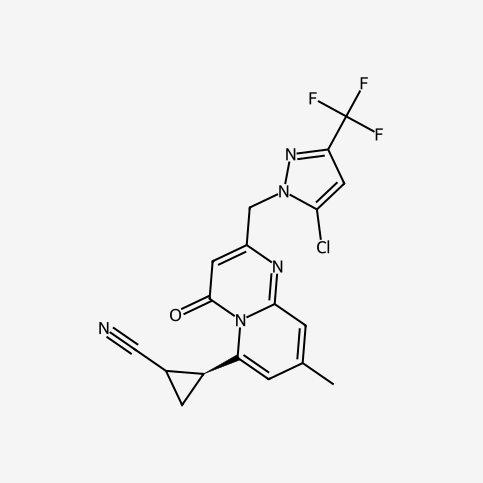 Cc1cc([C@H]2CC2C#N)n2c(=O)cc(Cn3nc(C(F)(F)F)cc3Cl)nc2c1